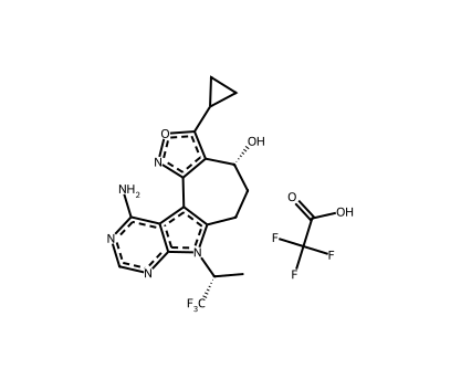 C[C@@H](n1c2c(c3c(N)ncnc31)-c1noc(C3CC3)c1[C@H](O)CC2)C(F)(F)F.O=C(O)C(F)(F)F